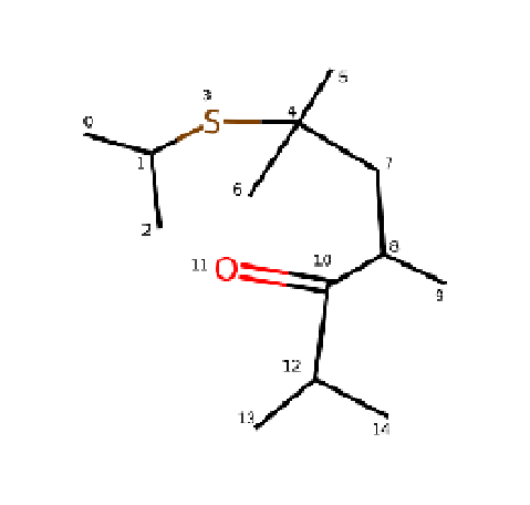 CC(C)SC(C)(C)CC(C)C(=O)C(C)C